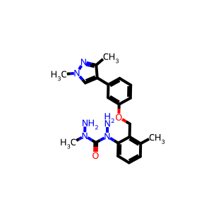 Cc1cccc(N(N)C(=O)N(C)N)c1COc1cccc(-c2cn(C)nc2C)c1